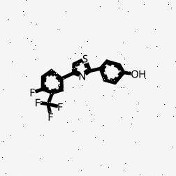 Oc1ccc(-c2nc(-c3ccc(F)c(C(F)(F)F)c3)cs2)cc1